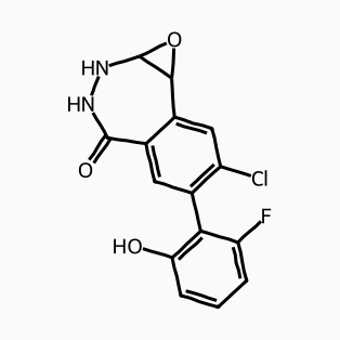 O=C1NNC2OC2c2cc(Cl)c(-c3c(O)cccc3F)cc21